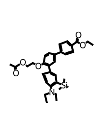 CCOC(=O)c1ccc(-c2ccc(OCCOC(C)=O)c(-c3ccc(N(CC)CC)c([Si](C)(C)C)c3)c2)cc1